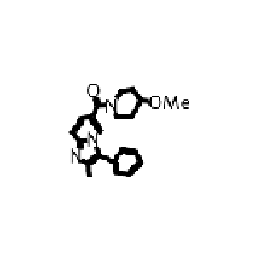 COC1CCN(C(=O)c2ccc3nc(C)c(-c4ccccc4)n3c2)CC1